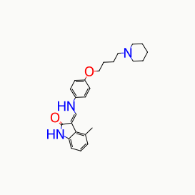 Cc1cccc2c1C(=CNc1ccc(OCCCCN3CCCCC3)cc1)C(=O)N2